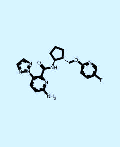 Nc1ccc(-n2nccn2)c(C(=O)N[C@H]2CCC[C@@H]2COc2ccc(F)cn2)n1